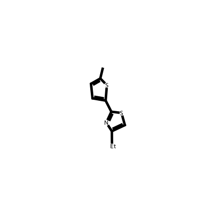 CCc1csc(-c2ccc(C)s2)n1